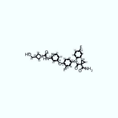 NC(=O)C1(C(=O)N(c2ccc(F)cc2)c2ccc(Oc3ccnc(NC(=O)N4CC(CO)C4)c3)c(F)c2)CC1